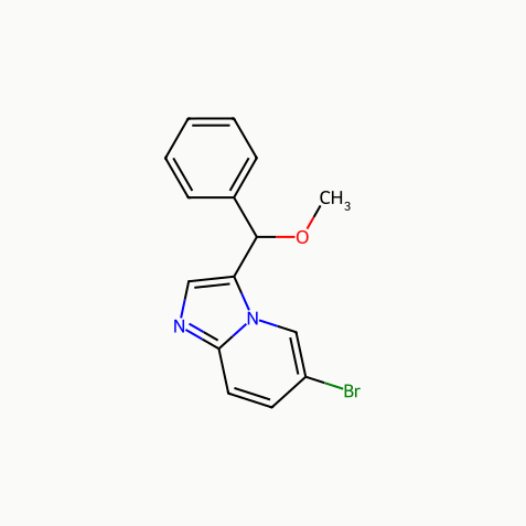 COC(c1ccccc1)c1cnc2ccc(Br)cn12